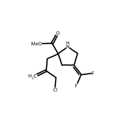 C=C(CCl)CC1(C(=O)OC)CC(=C(F)F)CN1